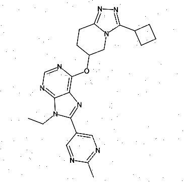 CCn1c(-c2cnc(C)nc2)nc2c(OC3CCc4nnc(C5CCC5)n4C3)ncnc21